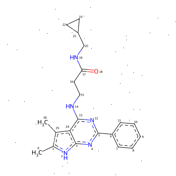 Cc1[nH]c2nc(-c3ccccc3)nc(NCCC(=O)NCC3CC3)c2c1C